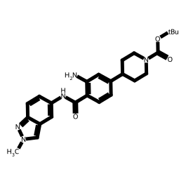 Cn1cc2cc(NC(=O)c3ccc(C4CCN(C(=O)OC(C)(C)C)CC4)cc3N)ccc2n1